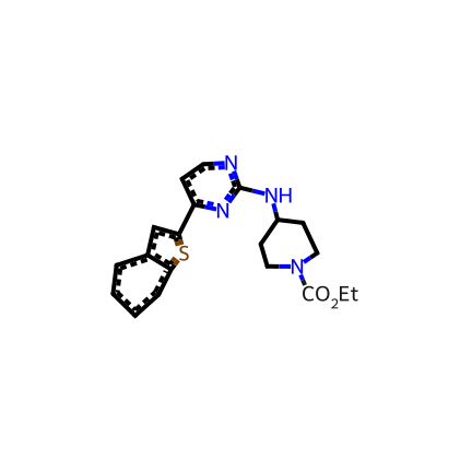 CCOC(=O)N1CCC(Nc2nccc(-c3cc4ccccc4s3)n2)CC1